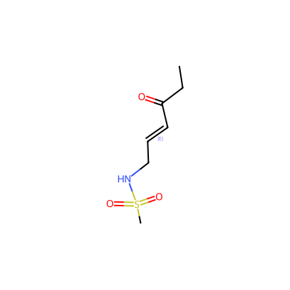 CCC(=O)/C=C/CNS(C)(=O)=O